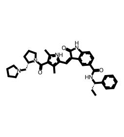 CC[C@H](NC(=O)c1ccc2c(c1)/C(=C/c1[nH]c(C)c(C(=O)N3CCC[C@H]3CN3CCCC3)c1C)C(=O)N2)c1ccccc1